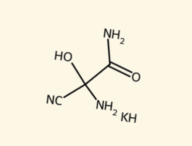 N#CC(N)(O)C(N)=O.[KH]